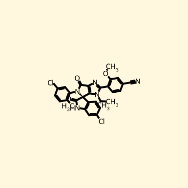 COc1cc(C#N)ccc1-c1nc2c(n1C(C)C)[C@]1(C(=O)Nc3cc(Cl)ccc31)N(c1cc(Cl)ccc1C)C2=O